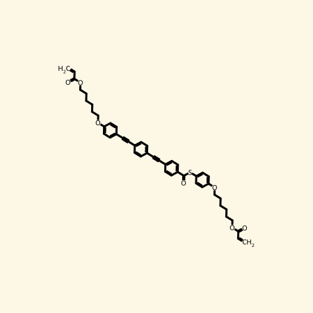 C=CC(=O)OCCCCCCOc1ccc(C#Cc2ccc(C#Cc3ccc(C(=O)Sc4ccc(OCCCCCCOC(=O)C=C)cc4)cc3)cc2)cc1